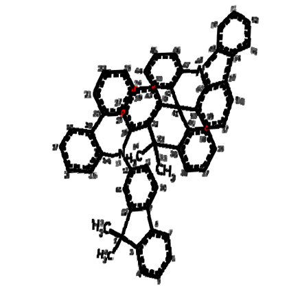 CC1(C)c2ccccc2-c2ccc(N(c3ccccc3-c3ccccc3)c3cccc4c3C(C)(C)c3ccccc3C43c4ccccc4-n4c5ccccc5c5cccc3c54)cc21